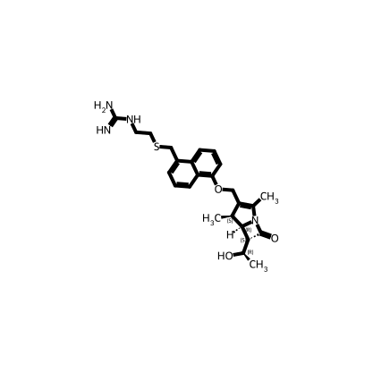 CC1=C(COc2cccc3c(CSCCNC(=N)N)cccc23)[C@H](C)[C@@H]2[C@@H]([C@@H](C)O)C(=O)N12